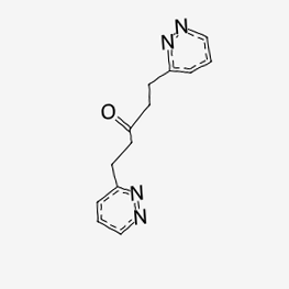 O=C(CCc1cccnn1)CCc1cccnn1